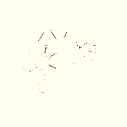 C=C(NC[C@@H]1CC[C@H]2C[C@@H]1C2(C)C)c1cccc2nc(C(=O)N(CCN(C)C)C3CCNCC3(C)C)cn12